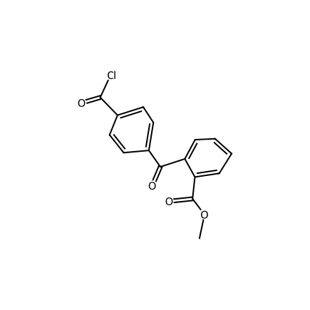 COC(=O)c1ccccc1C(=O)c1ccc(C(=O)Cl)cc1